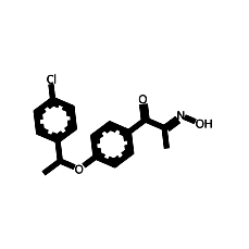 C/C(=N\O)C(=O)c1ccc(OC(C)c2ccc(Cl)cc2)cc1